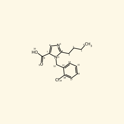 CCCCc1ncc(C(=O)O)n1Cc1ccccc1Cl